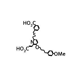 COc1ccc(CCCCOc2ccc(CSCc3cccc(C(=O)O)c3)nc2C=CC(=O)O)cc1